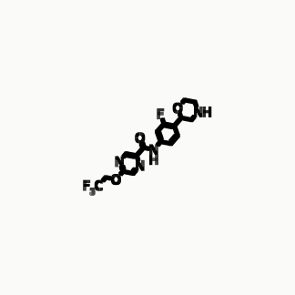 O=C(Nc1ccc(C2CNCCO2)c(F)c1)c1cnc(OCC(F)(F)F)cn1